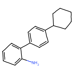 Nc1ccccc1-c1ccc(C2CCCCC2)cc1